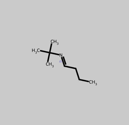 CCC/C=N/C(C)(C)C